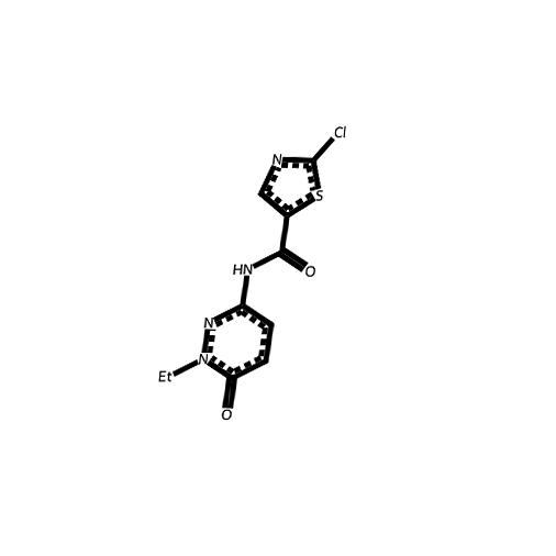 CCn1nc(NC(=O)c2cnc(Cl)s2)ccc1=O